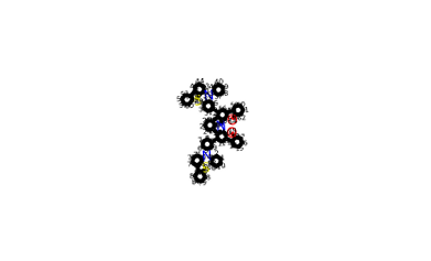 c1ccc(N(c2cccc(-c3cc4c5ccccc5oc4c4c3c3cccc5c6c(-c7cccc(N(c8ccccc8)c8cccc9c8sc8ccccc89)c7)cc7c8ccccc8oc7c6n4c35)c2)c2cccc3c2sc2ccccc23)cc1